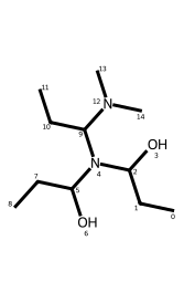 CCC(O)N(C(O)CC)C(CC)N(C)C